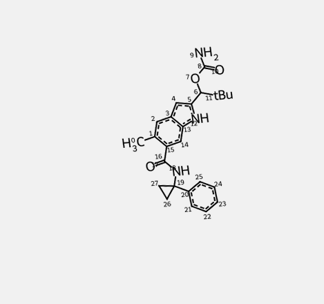 Cc1cc2cc(C(OC(N)=O)C(C)(C)C)[nH]c2cc1C(=O)NC1(c2ccccc2)CC1